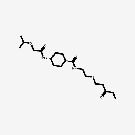 CCC(=O)CCOCCNC(=O)[C@H]1CC[C@H](NC(=O)COC(C)C)CC1